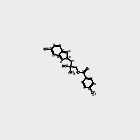 N#CC(N)(COC(=O)c1ccc(C(F)(F)F)cc1)Cn1nc2ccc(Cl)cc2n1